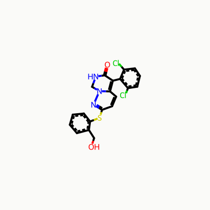 O=C1NCN2N=C(Sc3ccccc3CO)C=CC2=C1c1c(Cl)cccc1Cl